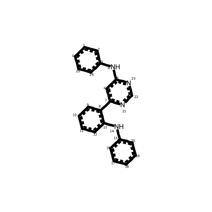 c1ccc(Nc2cc(-c3ccccc3Nc3ccccc3)ncn2)cc1